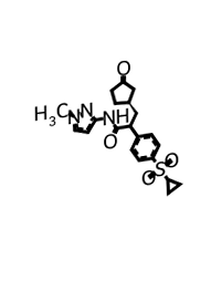 Cn1ccc(NC(=O)C(C[C@H]2CCC(=O)C2)c2ccc(S(=O)(=O)C3CC3)cc2)n1